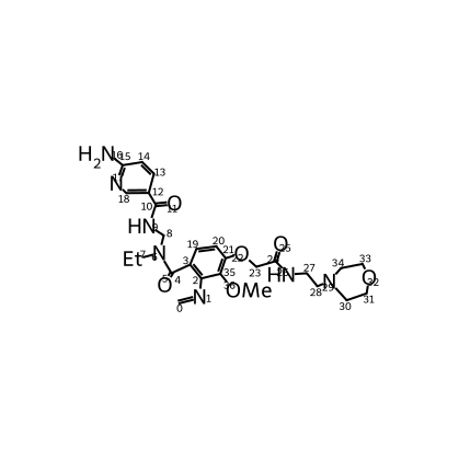 C=Nc1c(C(=O)N(CC)CNC(=O)c2ccc(N)nc2)ccc(OCC(=O)NCCN2CCOCC2)c1OC